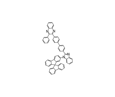 c1ccc(-c2nc3ccccc3nc2-c2ccc(-c3ccc(-c4nc5ccccc5n4-c4ccc5c(c4)C4(c6ccccc6-c6ccccc64)c4ccccc4-5)cc3)cc2)cc1